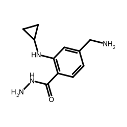 NCc1ccc(C(=O)NN)c(NC2CC2)c1